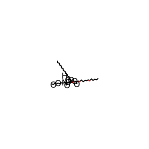 CCCCCCCCCCCCCC(=O)OCC(COC(=O)NCCCOCCOC)OC(=O)CCCCCCCCCCCCC